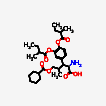 CCC(C)C(=O)Oc1ccc(C(C(C)COC(=O)C2CCCCC2)[C@H](N)C(=O)O)cc1OC(=O)C(C)CC